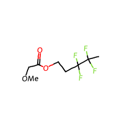 COCC(=O)OCCC(F)(F)C(C)(F)F